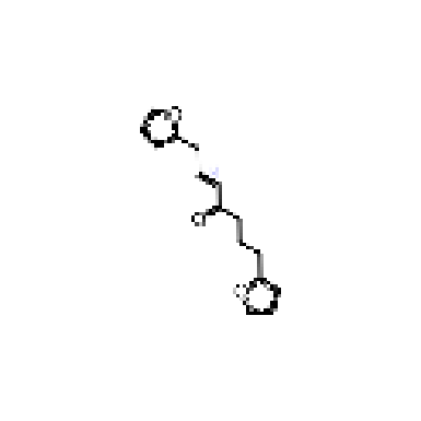 O=C(/C=C/Cc1ccco1)CCCc1ccco1